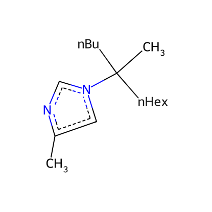 CCCCCCC(C)(CCCC)n1cnc(C)c1